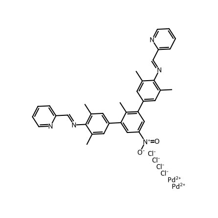 Cc1cc(-c2cc([N+](=O)[O-])cc(-c3cc(C)c(N=Cc4ccccn4)c(C)c3)c2C)cc(C)c1N=Cc1ccccn1.[Cl-].[Cl-].[Cl-].[Cl-].[Pd+2].[Pd+2]